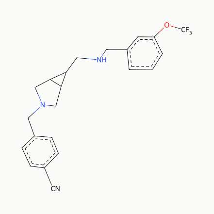 N#Cc1ccc(CN2CC3C(CNCc4cccc(OC(F)(F)F)c4)C3C2)cc1